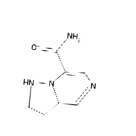 NC(=O)C1=CN=CC2CCNN12